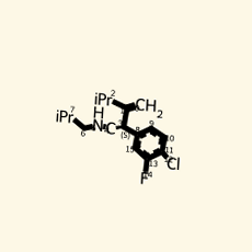 C=C(C(C)C)[C@H](CNCC(C)C)c1ccc(Cl)c(F)c1